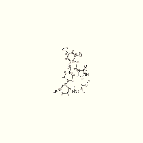 COCC(C)NCc1ccc(F)cc1N1CCN(C(=O)C(Cc2ccc(Cl)cc2Cl)N2CCNC2=O)CC1